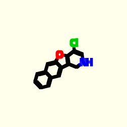 ClC1=CNCc2c1oc1cc3ccccc3cc21